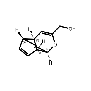 OCC1=C[C@H]2[C@@H]3C=C[C@H]2CO[C@H]3O1